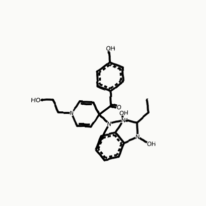 CCC1N(O)c2ccc3cc2[N+]1(O)N3C1(C(=O)c2ccc(O)cc2)C=CN(CCO)C=C1